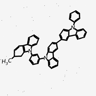 CC1C=Cc2c(n(-c3cccc(-n4c5ccccc5c5cc(-c6ccc7c(c6)c6ccccc6n7-c6ccccc6)ccc54)c3)c3ccccc23)C1